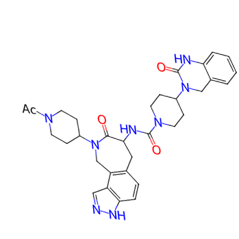 CC(=O)N1CCC(N2Cc3c(ccc4[nH]ncc34)CC(NC(=O)N3CCC(N4Cc5ccccc5NC4=O)CC3)C2=O)CC1